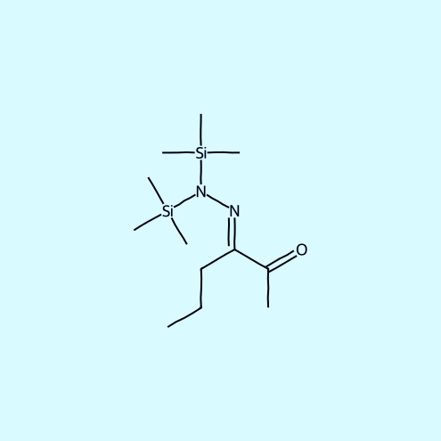 CCC/C(=N\N([Si](C)(C)C)[Si](C)(C)C)C(C)=O